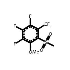 COc1c(F)c(F)c(F)c(C(F)(F)F)c1S(C)(=O)=O